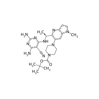 C[C@H](Nc1nc(N)nc(N)c1C#N)c1nc2ccn(C)c2cc1N1CCN(C(=O)OC(C)(C)C)CC1